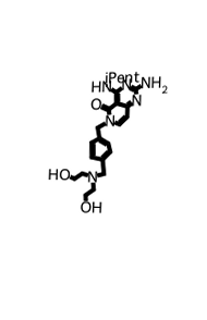 CCC[C@@H](C)Nc1nc(N)nc2ccn(Cc3ccc(CN(CCO)CCO)cc3)c(=O)c12